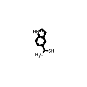 CC(S)c1ccc2[nH]ccc2c1